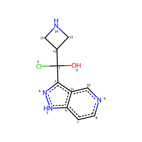 OC(Cl)(c1n[nH]c2ccncc12)C1CNC1